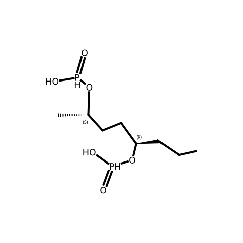 CCC[C@H](CC[C@H](C)O[PH](=O)O)O[PH](=O)O